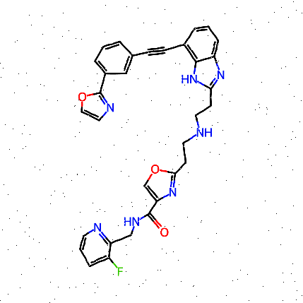 O=C(NCc1ncccc1F)c1coc(CCNCCc2nc3cccc(C#Cc4cccc(-c5ncco5)c4)c3[nH]2)n1